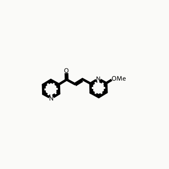 COc1cccc(/C=C/C(=O)c2cccnc2)n1